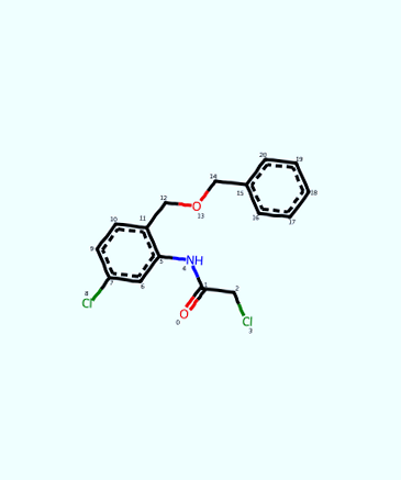 O=C(CCl)Nc1cc(Cl)ccc1COCc1ccccc1